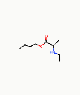 CCCCOC(=O)[C@@H](C)NCC